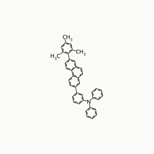 Cc1cc(C)c(-c2ccc3c(ccc4cc(-c5cccc(N(c6ccccc6)c6ccccc6)c5)ccc43)c2)c(C)c1